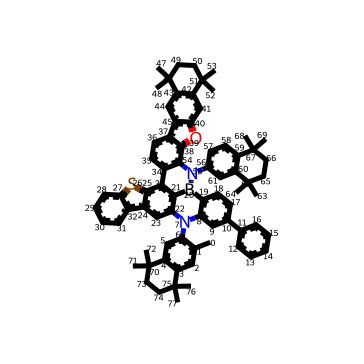 Cc1cc2c(cc1N1c3cc(-c4ccccc4)ccc3B3c4c1cc1c(sc5ccccc51)c4-c1ccc4c(oc5cc6c(cc54)C(C)(C)CCC6(C)C)c1N3c1ccc3c(c1)C(C)(C)CCC3(C)C)C(C)(C)CCC2(C)C